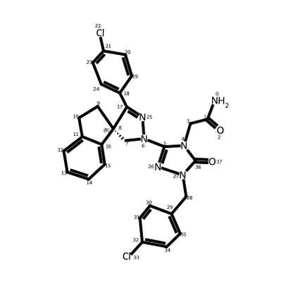 NC(=O)Cn1c(N2C[C@]3(CCc4ccccc43)C(c3ccc(Cl)cc3)=N2)nn(Cc2ccc(Cl)cc2)c1=O